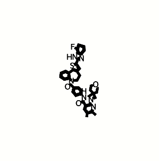 Cc1cc(C(=O)Nc2ccc(C(=O)N3CCc4cc(-c5nc6cccc(F)c6[nH]5)sc4-c4ccccc43)cc2)c(N2CC3(CCOCC3)C2)nc1C